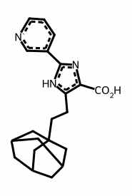 O=C(O)c1nc(-c2cccnc2)[nH]c1CCC12CC3CC(CC(C3)C1)C2